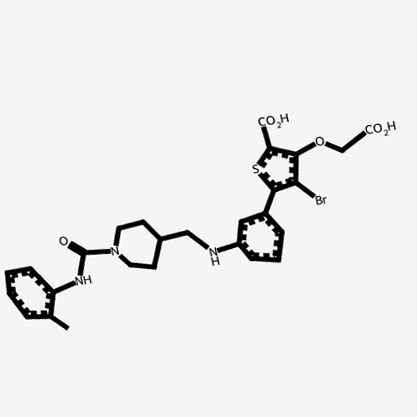 Cc1ccccc1NC(=O)N1CCC(CNc2cccc(-c3sc(C(=O)O)c(OCC(=O)O)c3Br)c2)CC1